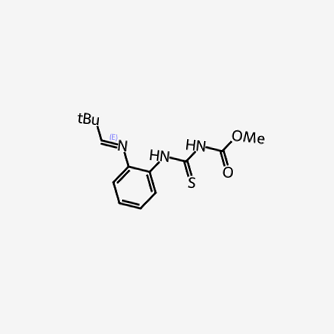 COC(=O)NC(=S)Nc1ccccc1/N=C/C(C)(C)C